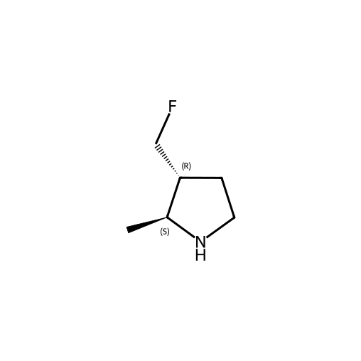 C[C@@H]1NCC[C@H]1CF